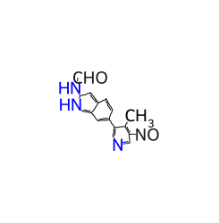 Cc1c(N=O)cncc1-c1ccc2c(c1)=CNC(NC=O)C=2